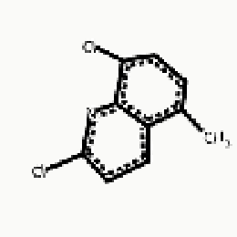 Cc1ccc(Cl)c2nc(Cl)ccc12